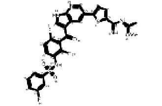 CO/C(C)=N\C(=N)c1ccc(-c2cnc3[nH]cc(C(=O)c4c(F)ccc(NS(=O)(=O)c5cccc(F)c5)c4F)c3c2)s1